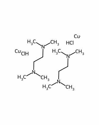 CN(C)CCN(C)C.CN(C)CCN(C)C.Cl.Cl.[Cu].[Cu]